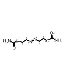 NC(=O)OCCN=NCCOC(N)=O